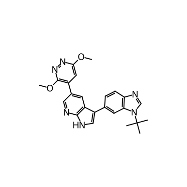 COc1cc(-c2cnc3[nH]cc(-c4ccc5ncn(C(C)(C)C)c5c4)c3c2)c(OC)nn1